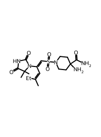 CC/C(C)=C\C(=C/S(=O)(=O)N1CCC(N)(C(N)=O)CC1)N1C(=O)NC(=O)C1(C)C